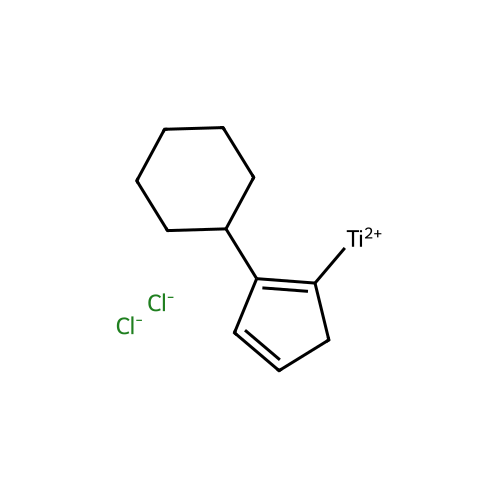 [Cl-].[Cl-].[Ti+2][C]1=C(C2CCCCC2)C=CC1